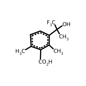 Cc1ccc(C(C)(O)C(F)(F)F)c(C)c1C(=O)O